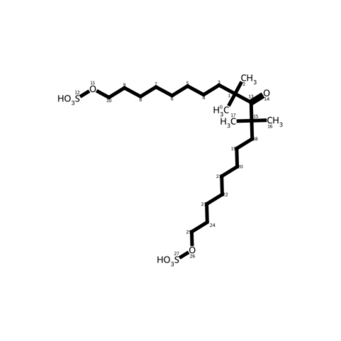 CC(C)(CCCCCCCCOS(=O)(=O)O)C(=O)C(C)(C)CCCCCCCCOS(=O)(=O)O